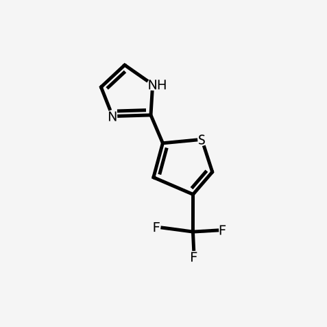 FC(F)(F)c1csc(-c2ncc[nH]2)c1